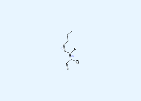 C=C/C(Cl)=C(F)\C=C/CCC